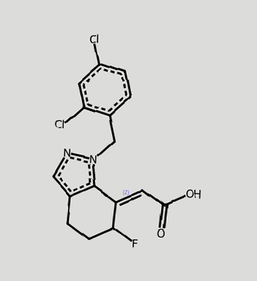 O=C(O)/C=C1/c2c(cnn2Cc2ccc(Cl)cc2Cl)CCC1F